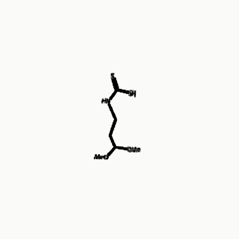 COC(CCNC(=S)S)OC